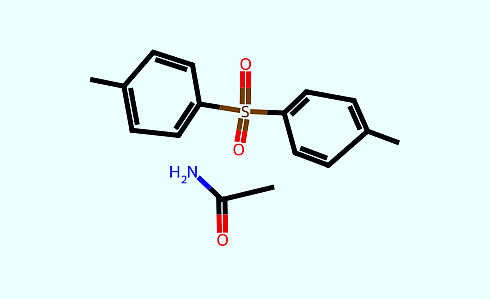 CC(N)=O.Cc1ccc(S(=O)(=O)c2ccc(C)cc2)cc1